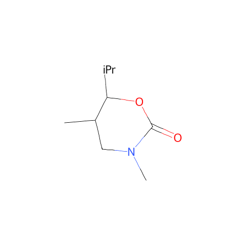 CC(C)C1OC(=O)N(C)CC1C